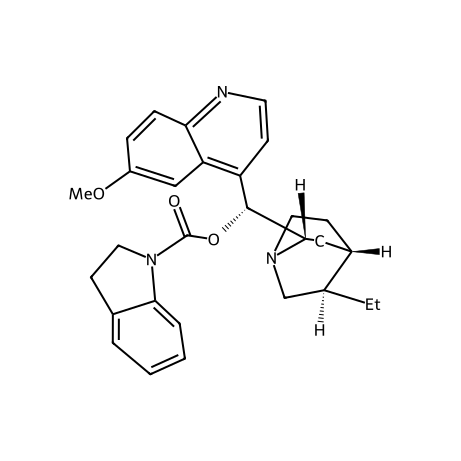 CC[C@H]1CN2CC[C@H]1C[C@H]2[C@H](OC(=O)N1CCc2ccccc21)c1ccnc2ccc(OC)cc12